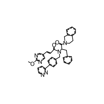 COc1ncc(C=CC(=O)N(Cc2ccc(-c3cccnn3)cc2)C(Cc2ccccc2)C(=O)N2CCc3ccccc3C2)cn1